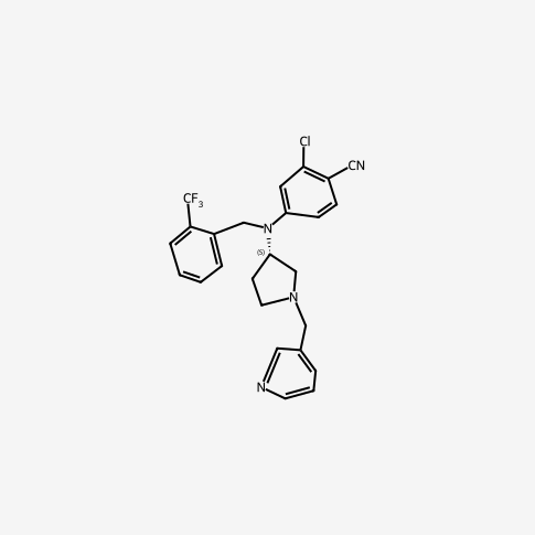 N#Cc1ccc(N(Cc2ccccc2C(F)(F)F)[C@H]2CCN(Cc3cccnc3)C2)cc1Cl